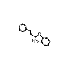 C(=CC1Nc2ccccc2O1)c1ccccc1